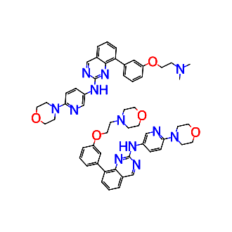 CN(C)CCOc1cccc(-c2cccc3cnc(Nc4ccc(N5CCOCC5)nc4)nc23)c1.c1cc(OCCN2CCOCC2)cc(-c2cccc3cnc(Nc4ccc(N5CCOCC5)nc4)nc23)c1